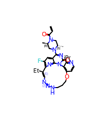 C=CC(=O)N1C[C@H](C)N(c2nc(=O)n3c4nc(c(F)cc24)/C(CC)=C/N=N\NCCCOc2ccnc(C(C)C)c2-3)C[C@H]1C